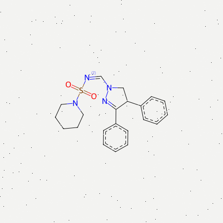 O=S(=O)(/N=C\N1CC(c2ccccc2)C(c2ccccc2)=N1)N1CCCCC1